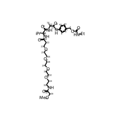 CCNC(=O)OCc1ccc(NC(=O)[C@H](C)NC(=O)[C@@H](NC(=O)CCOCCOCCOCCOCCNC(=O)COC)C(C)C)cc1